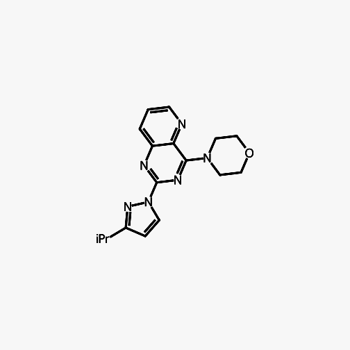 CC(C)c1ccn(-c2nc(N3CCOCC3)c3ncccc3n2)n1